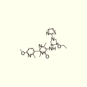 CCO[C@@H]1CN(c2nccs2)C[C@H]1Nc1c(C)nc(-c2ccc(OC)nc2C)n(C)c1=O